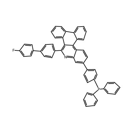 Fc1ccc(-c2ccc(-c3nc4cc(-c5ccc(P(c6ccccc6)c6ccccc6)cc5)ccc4c4c5ccccc5c5ccccc5c34)cc2)cc1